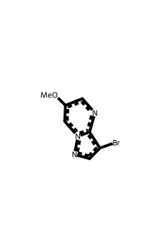 COc1cnc2c(Br)cnn2c1